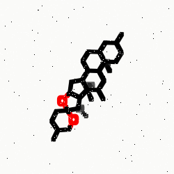 CC1CCC2(OC1)OC1CC3C4CCC5CC(C)CC[C@]5(C)C4CC(C)[C@]3(C)C1[C@@H]2C